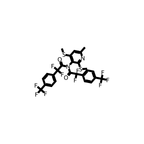 CSc1cc(C)nc(SC)c1N(C(=O)C(F)(F)c1ccc(C(F)(F)F)cc1)C(=O)C(F)(F)c1ccc(C(F)(F)F)cc1